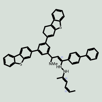 C/C=C\C=C(/C)NN/C(=C\C(NC)c1cc(C2=Cc3sc4ccccc4c3CC2)cc(-c2ccc3c(c2)sc2ccccc23)c1)c1ccc(-c2ccccc2)cc1